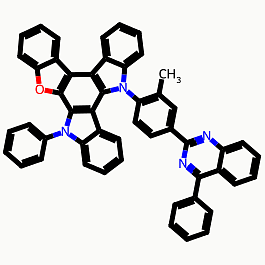 Cc1cc(-c2nc(-c3ccccc3)c3ccccc3n2)ccc1-n1c2ccccc2c2c3c4ccccc4oc3c3c(c4ccccc4n3-c3ccccc3)c21